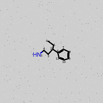 [CH2]CC(CC[NH])c1ccccc1